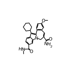 CNC(=O)c1ccc2c(C3CCCCC3)c3n(c2c1)CC(C(N)=O)=Cc1cc(OC)ccc1-3